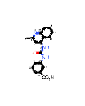 Cc1cc(NC(=O)Nc2cccc(C(=O)O)c2)c2ccccc2n1